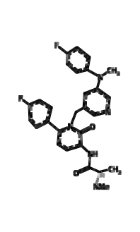 CN[C@@H](C)C(=O)Nc1ccc(-c2ccc(F)cc2)n(Cc2cncc(N(C)c3ccc(F)cc3)c2)c1=O